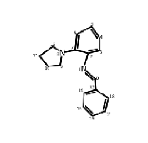 C(=Nc1ccccc1N1CCCC1)c1ccccc1